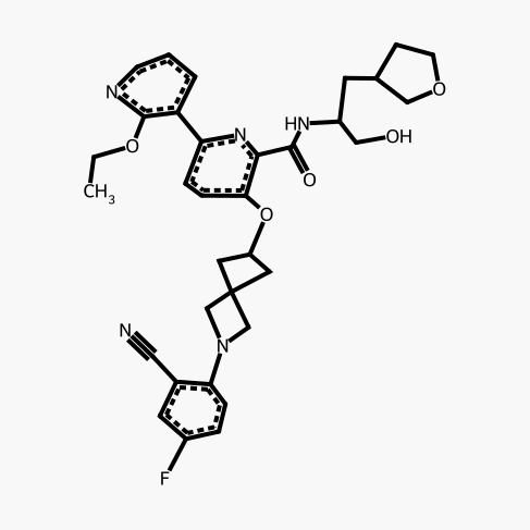 CCOc1ncccc1-c1ccc(OC2CC3(C2)CN(c2ccc(F)cc2C#N)C3)c(C(=O)NC(CO)CC2CCOC2)n1